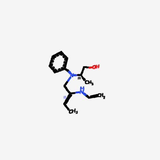 C=CN/C(=C\C)CN(c1ccccc1)[C@H](C)CO